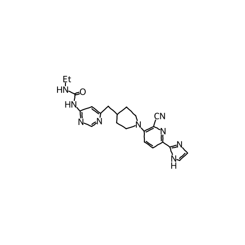 CCNC(=O)Nc1cc(CC2CCN(c3ccc(-c4ncc[nH]4)nc3C#N)CC2)ncn1